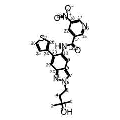 CC(C)(O)CCn1cc2cc(NC(=O)c3cncc([N+](=O)[O-])c3)c(-c3ccsc3)cc2n1